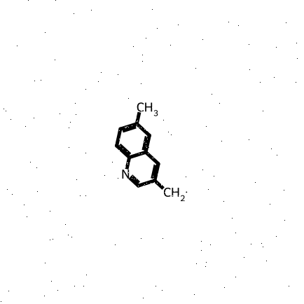 [CH2]c1cnc2ccc(C)cc2c1